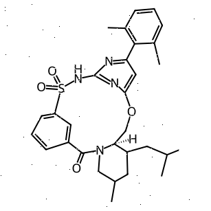 Cc1cccc(C)c1-c1cc2nc(n1)NS(=O)(=O)c1cccc(c1)C(=O)N1CC(C)CC(CC(C)C)[C@@H]1CO2